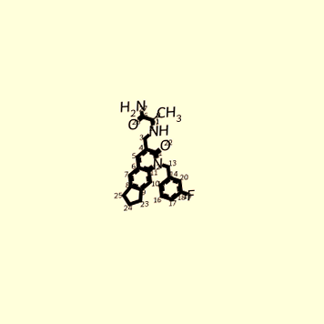 C[C@H](NCc1cc2cc3c(cc2n(Cc2cccc(F)c2)c1=O)CCC3)C(N)=O